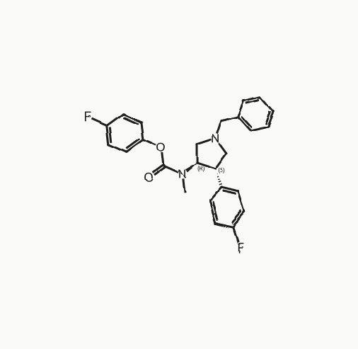 CN(C(=O)Oc1ccc(F)cc1)[C@H]1CN(Cc2ccccc2)C[C@@H]1c1ccc(F)cc1